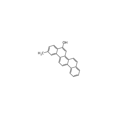 Cc1ccc2c(O)cc3c(ccc4c5ccccc5ccc43)c2c1